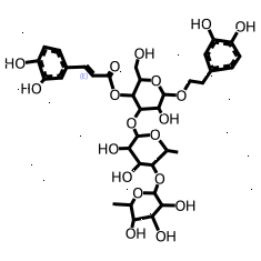 CC1OC(OC2C(C)OC(OC3C(O)C(OCCc4ccc(O)c(O)c4)OC(CO)C3OC(=O)/C=C/c3ccc(O)c(O)c3)C(O)C2O)C(O)C(O)C1O